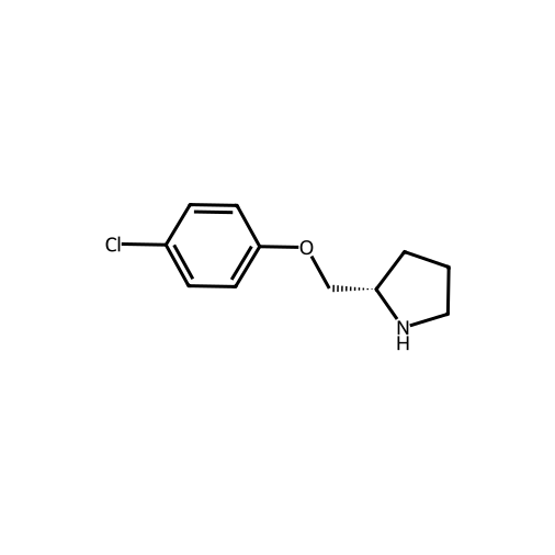 Clc1ccc(OC[C@@H]2CCCN2)cc1